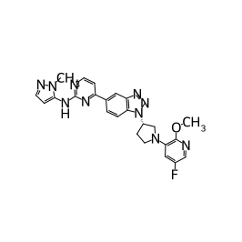 COc1ncc(F)cc1N1CC[C@H](n2nnc3cc(-c4ccnc(Nc5ccnn5C)n4)ccc32)C1